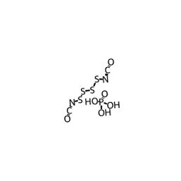 O=C=NSSSSN=C=O.O=P(O)(O)O